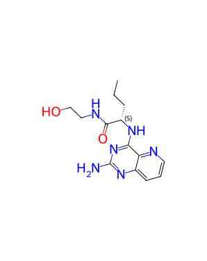 CCC[C@H](Nc1nc(N)nc2cccnc12)C(=O)NCCO